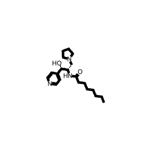 CCCCCCCC(=O)N[C@@H](CN1CCCC1)[C@@H](O)c1ccncc1